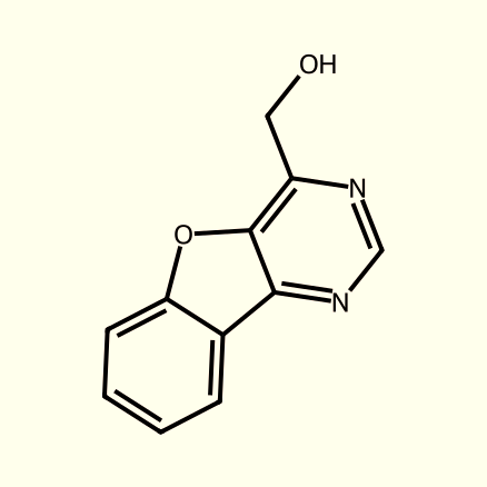 OCc1ncnc2c1oc1ccccc12